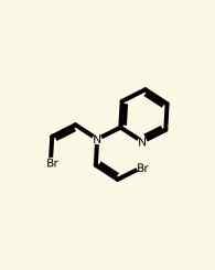 Br/C=C\N(/C=C\Br)c1ccccn1